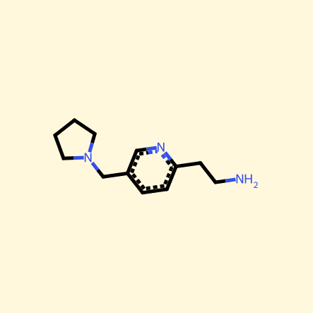 NCCc1ccc(CN2CCCC2)cn1